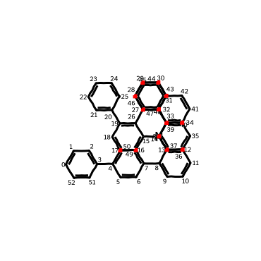 c1ccc(-c2ccc(-c3ccccc3N(c3cccc(-c4ccccc4)c3-c3ccccc3-c3ccccc3)c3cccc4ccccc34)cc2)cc1